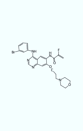 C=C(F)C(=O)Nc1cc2c(Nc3cccc(Br)c3)ncnc2cc1OCCCN1CCOCC1